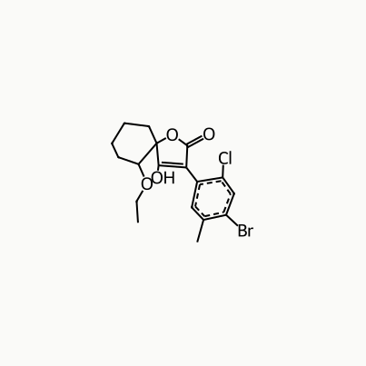 CCOC1CCCCC12OC(=O)C(c1cc(C)c(Br)cc1Cl)=C2O